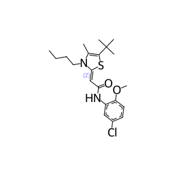 CCCCN1C(C)=C(C(C)(C)C)S/C1=C\C(=O)Nc1cc(Cl)ccc1OC